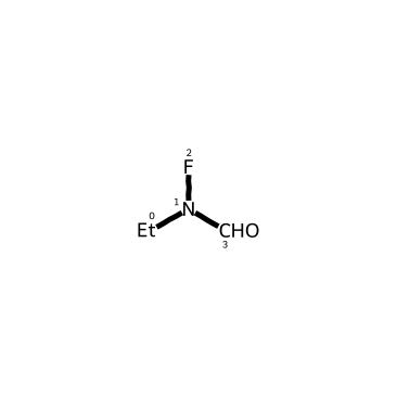 CCN(F)C=O